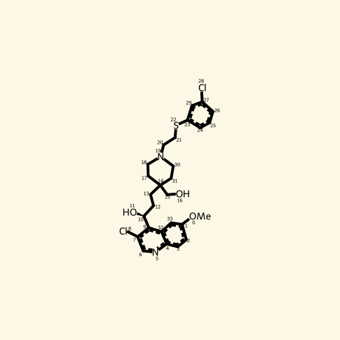 COc1ccc2ncc(Cl)c([C@@H](O)CCC3(CO)CCN(CCSc4cccc(Cl)c4)CC3)c2c1